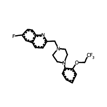 Fc1ccc2nc(CN3CCN(c4ccccc4OCC(F)(F)F)CC3)ccc2c1